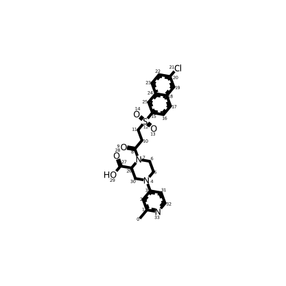 Cc1cc(N2CCN(C(=O)CCS(=O)(=O)c3ccc4cc(Cl)ccc4c3)C(C(=O)O)C2)ccn1